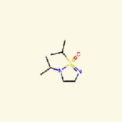 CC(C)N1CCN=S1(=O)C(C)C